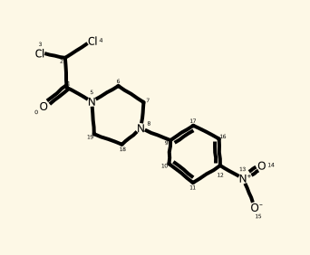 O=C(C(Cl)Cl)N1CCN(c2ccc([N+](=O)[O-])cc2)CC1